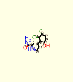 NC(=O)[C@@H]1C[C@H]([C@@H]2C(O)CCC(Cl)C2Cl)CCN1